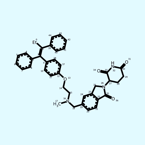 CCC(=C(c1ccccc1)c1ccc(OCCN(C)Cc2ccc3c(c2)CN(C2CCC(=O)NC2=O)C3=O)cc1)c1ccccc1